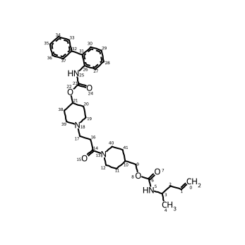 C=CCC(C)NC(=O)OCC1CCN(C(=O)CCN2CCC(OC(=O)Nc3ccccc3-c3ccccc3)CC2)CC1